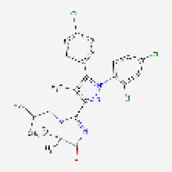 Cc1c(C2=NC(=O)C(C)(C)N2CC(C)C)nn(-c2ccc(Cl)cc2Cl)c1-c1ccc(Cl)cc1